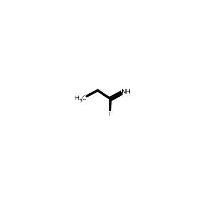 CCC(=N)I